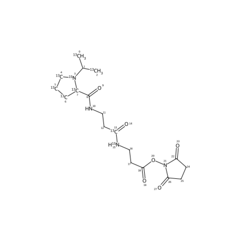 [13CH3]C([13CH3])[15N]1[13CH2][13CH2][13CH2][13CH]1C(=O)NCC[13C](=O)[15NH]CCC(=O)ON1C(=O)CCC1=O